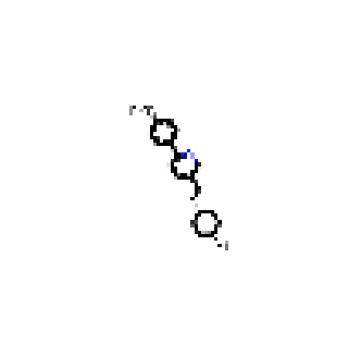 CCCc1ccc(-c2ccc(CC[C@H]3CC[C@H](CC)CC3)cn2)cc1